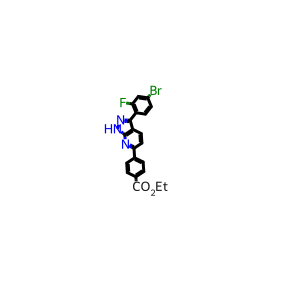 CCOC(=O)c1ccc(-c2ccc3c(-c4ccc(Br)cc4F)n[nH]c3n2)cc1